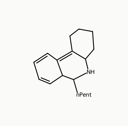 CCCCCC1NC2CCCCC2=C2C=CC=CC21